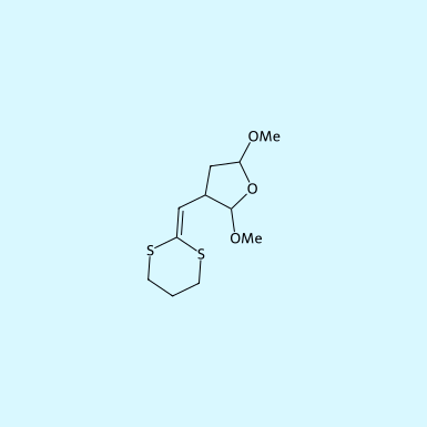 COC1CC(C=C2SCCCS2)C(OC)O1